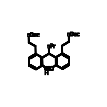 CCCCCCCCCCCCc1cccc(O)c1C(CCC)c1c(O)cccc1CCCCCCCCCCCC